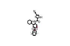 COC(=O)N1[C@@]2(C)C=C[C@]1(C)CC(c1ccc(NC(=O)c3nc(C#N)c[nH]3)c(C3=CCCCC3)c1)C2